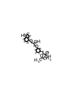 CC(C)OC(Cc1cccc(OCC(O)COc2cccc3[nH]ccc23)c1)C(=O)O